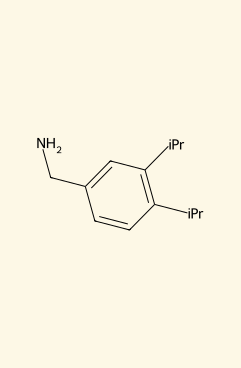 CC(C)c1ccc(CN)cc1C(C)C